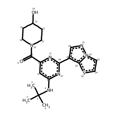 CC(C)(C)Nc1cc(C(=O)N2CCC(O)CC2)nc(-c2cnn3ccsc23)n1